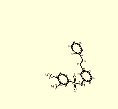 Cc1ccc(S(=O)(=O)Nc2cccc(CCc3ccccn3)c2)cc1C